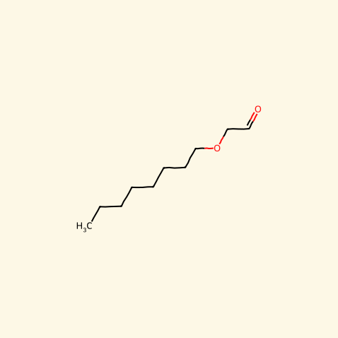 CCCCCCCCOCC=O